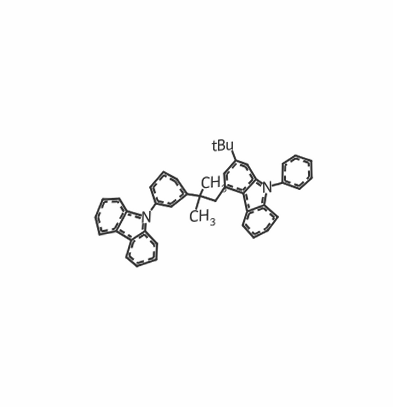 CC(C)(C)c1cc(CC(C)(C)c2cccc(-n3c4ccccc4c4ccccc43)c2)c2c3ccccc3n(-c3ccccc3)c2c1